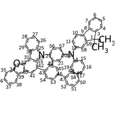 CC1(C)c2ccccc2-c2ccc(N(c3ccccc3)c3ccc(-n4c5ccccc5c5c6oc7ccccc7c6cc(-c6ccc(-c7ccccc7)cc6)c54)cc3)cc21